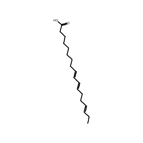 CC/C=C/CCC=CC=CCCCCCCCC(=O)O